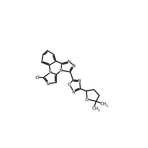 CC1(C)CCC(c2noc(-c3nnc4c5ccccc5n5c(Cl)ncc5n34)n2)O1